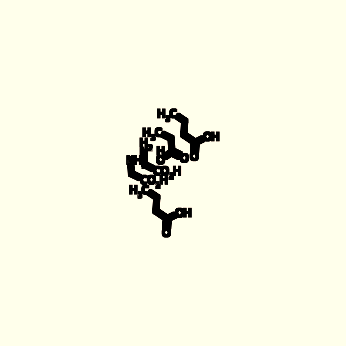 CCC(=O)O.CCCC(=O)O.CCCC(=O)O.NCC(=O)O.NCC(=O)O